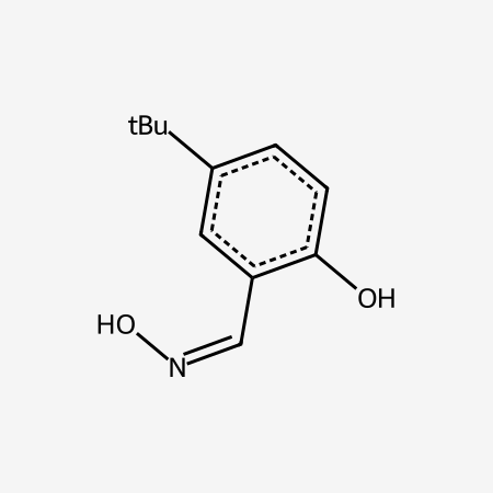 CC(C)(C)c1ccc(O)c(/C=N\O)c1